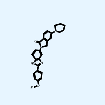 CC(C)Oc1ccc(-c2nc3cc(N4Cc5cc(N6CCCCC6)ccc5C4=O)ccc3[nH]2)cc1